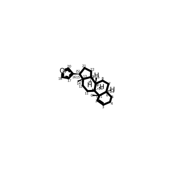 C[C@]12C=CCC[C@@H]1CC[C@@H]1[C@@H]2CC[C@]2(C)[C@@H](c3ccoc3)CC[C@@H]12